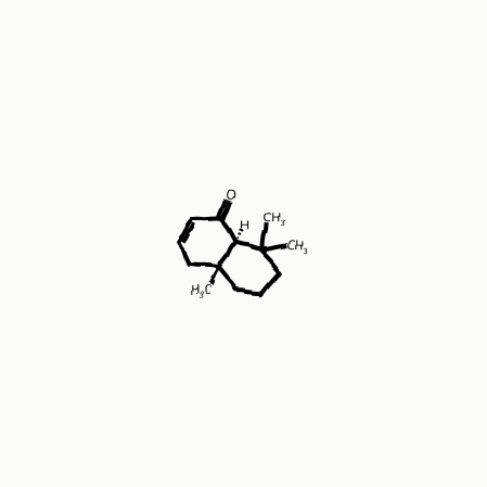 CC1(C)CCC[C@]2(C)CC=CC(=O)[C@@H]12